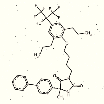 CCCc1cc(C(O)(C(F)(F)F)C(F)(F)F)cc(CCC)c1OCCCCN1C(=O)NC(C)(c2ccc(-c3ccccc3)cc2)C1=O